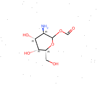 N[C@H]1C(OC=O)O[C@H](CO)[C@H](O)[C@@H]1O